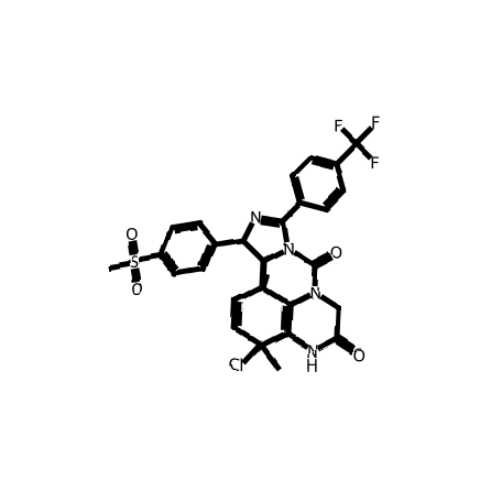 CC1(Cl)C=CC2(C)C3=C1NC(=O)CN3C(=O)N1C(c3ccc(C(F)(F)F)cc3)=NC(c3ccc(S(C)(=O)=O)cc3)C12